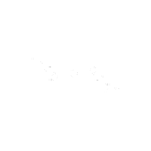 COC(=O)N[C@@H](C)C(=O)N1CCC[C@H]1c1nc(CCc2ccc(CCc3c[nH]c([C@@H]4CCCN4C(=O)[C@H](C)N(C)C(=O)O)n3)cc2)c[nH]1